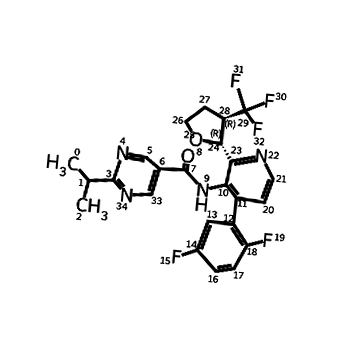 CC(C)c1ncc(C(=O)Nc2c(-c3cc(F)ccc3F)ccnc2[C@@H]2OCC[C@H]2C(F)(F)F)cn1